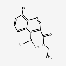 CCOC(=O)c1cnc2c(Br)cccc2c1N(C)C